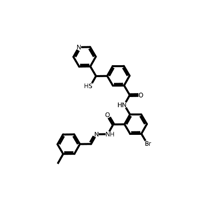 Cc1cccc(/C=N/NC(=O)c2cc(Br)ccc2NC(=O)c2cccc(C(S)c3ccncc3)c2)c1